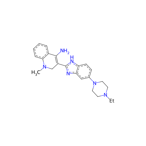 CCN1CCN(c2ccc3[nH]c(C4=C(N)c5ccccc5N(C)C4)nc3c2)CC1